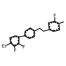 CCc1ccc(-c2ccc(CCc3ccc(C)c(F)c3)cc2)c(F)c1F